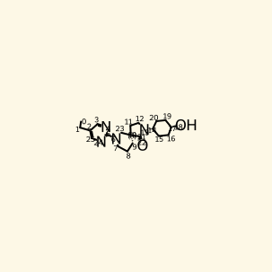 CCc1cnc(N2CCC[C@@]3(CCN([C@H]4CC[C@H](O)CC4)C3=O)C2)nc1